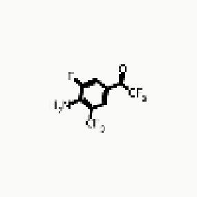 Nc1c(F)cc(C(=O)C(F)(F)F)cc1C(F)(F)F